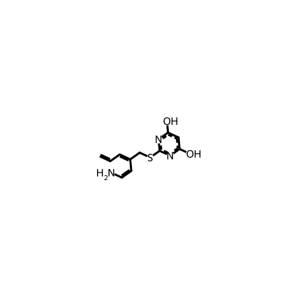 C=C/C=C(\C=C/N)CSc1nc(O)cc(O)n1